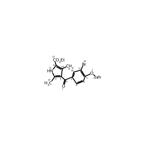 CCCOc1ccc(C(=O)c2c(C)[nH]c(C(=O)OCC)c2C)cc1Br